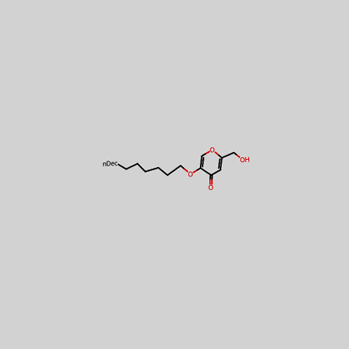 CCCCCCCCCCCCCCCCOc1coc(CO)cc1=O